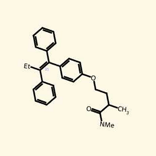 CC/C(=C(\c1ccccc1)c1ccc(OCCC(C)C(=O)NC)cc1)c1ccccc1